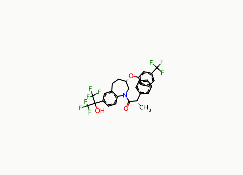 C[C@H](C(=O)N1C[C@@H](Oc2cccc(C(F)(F)F)c2)CCc2cc(C(O)(C(F)(F)F)C(F)(F)F)ccc21)c1ccccc1